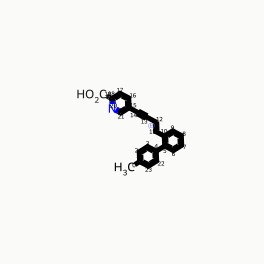 Cc1ccc(-c2ccccc2/C=C/C#Cc2ccc(C(=O)O)nc2)cc1